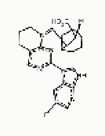 O=C(O)[C@@H]1C2CCC(CC2)C1/C=[N+]1/CCCc2cnc(-c3c[nH]c4ncc(F)cc34)nc21